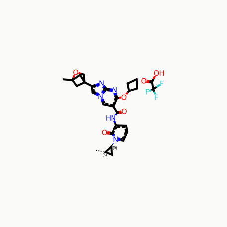 C[C@H]1C[C@H]1n1cccc(NC(=O)c2cn3cc(C45COC(C)(C4)C5)nc3nc2OC2CCC2)c1=O.O=C(O)C(F)(F)F